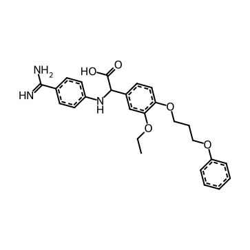 CCOc1cc(C(Nc2ccc(C(=N)N)cc2)C(=O)O)ccc1OCCCOc1ccccc1